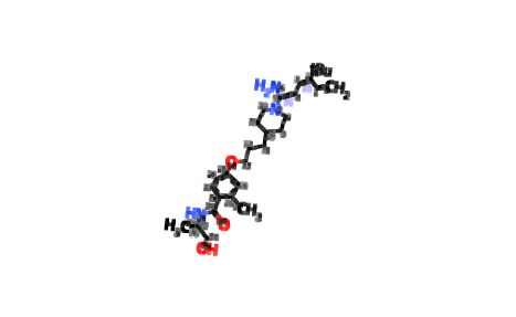 C=C/C(=C\C=C(/N)N1CCC(CCCOc2ccc(C(=O)N[C@H](C)CO)c(C)c2)CC1)C(C)(C)C